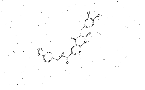 COc1ccc(CNC(=O)c2ccc3c(c2)C(=O)C(Cc2ccc(Cl)c(Cl)c2)C(=O)N3)cc1